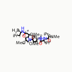 B[C@H](CC(C)C)NC(=O)[C@H](C)[C@@H](OC)[C@@H]1C[C@@H](OC)CN1C(=O)C[C@@H](OC)[C@H]([C@@H](C)CC)N(C)C(=O)[C@@H](NC(=O)[C@@H](NC)C(C)C)C(C)C